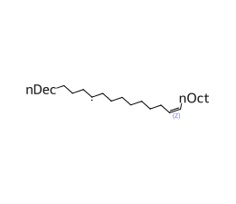 CCCCCCCC/C=C\CCCCCCC[CH]CCCCCCCCCCCCC